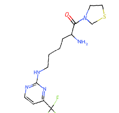 NC(CCCCNc1nccc(C(F)(F)F)n1)C(=O)N1CCSC1